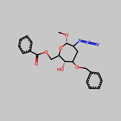 CO[C@H]1OC(COC(=O)c2ccccc2)[C@@H](O)C(OCc2ccccc2)CC1N=[N+]=[N-]